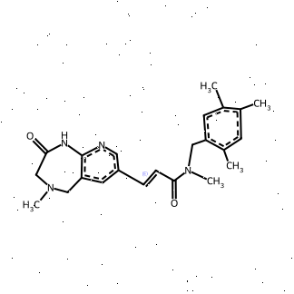 Cc1cc(C)c(CN(C)C(=O)/C=C/c2cnc3c(c2)CN(C)CC(=O)N3)cc1C